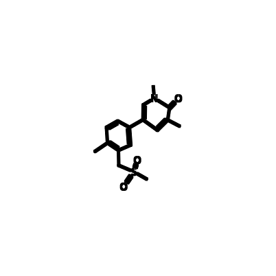 Cc1ccc(-c2cc(C)c(=O)n(C)c2)cc1CS(C)(=O)=O